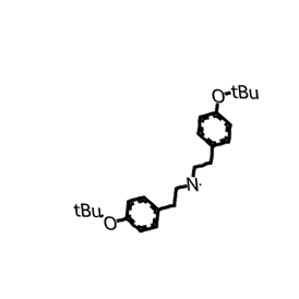 CC(C)(C)Oc1ccc(CC[N]CCc2ccc(OC(C)(C)C)cc2)cc1